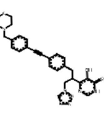 O=c1[nH]cnc(C(Cc2ccc(C#Cc3ccc(CN4CCOCC4)cc3)cc2)Cn2cnnn2)c1O